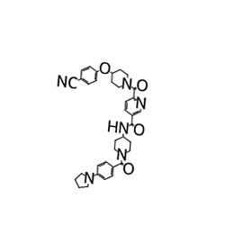 N#Cc1ccc(OC2CCN(C(=O)c3ccc(C(=O)NC4CCN(C(=O)c5ccc(N6CCCC6)cc5)CC4)cn3)CC2)cc1